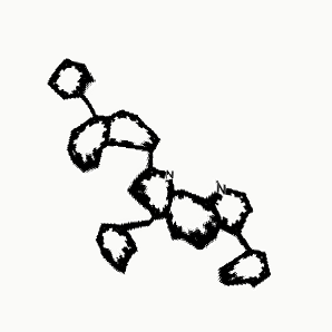 c1ccc(-c2cccc3c(-c4cc(-c5ccccc5)c5ccc6c(-c7ccccc7)ccnc6c5n4)cccc23)cc1